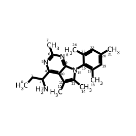 CCC(N)c1nc(C)nc2c1c(C)c(C)n2-c1c(C)cc(C)cc1C